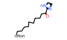 CCCCCCCCCCCCCCCCCCC(=O)c1ncc[nH]1